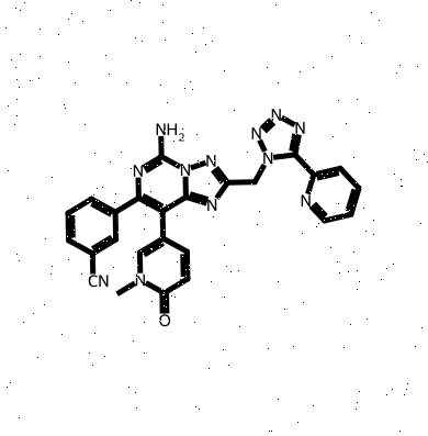 Cn1cc(-c2c(-c3cccc(C#N)c3)nc(N)n3nc(Cn4nnnc4-c4ccccn4)nc23)ccc1=O